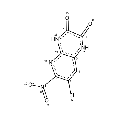 O=c1[nH]c2cc(Cl)c([N+](=O)[O-])nc2[nH]c1=O